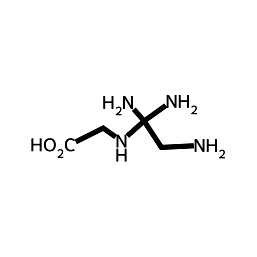 NCC(N)(N)NCC(=O)O